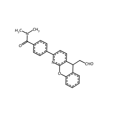 CN(C)C(=O)c1ccc(-c2ccc3c(n2)Oc2ccccc2C3CC=O)cc1